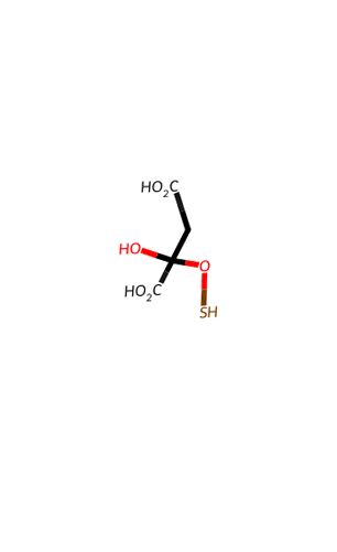 O=C(O)CC(O)(OS)C(=O)O